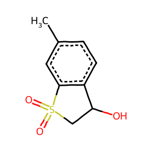 Cc1ccc2c(c1)S(=O)(=O)CC2O